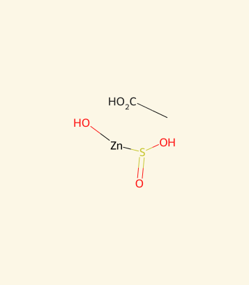 CC(=O)O.O=[S](O)[Zn][OH]